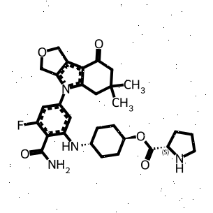 CC1(C)CC(=O)c2c3c(n(-c4cc(F)c(C(N)=O)c(N[C@H]5CC[C@H](OC(=O)[C@@H]6CCCN6)CC5)c4)c2C1)COC3